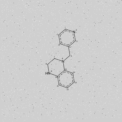 c1cncc(CN2CCNc3ccccc32)c1